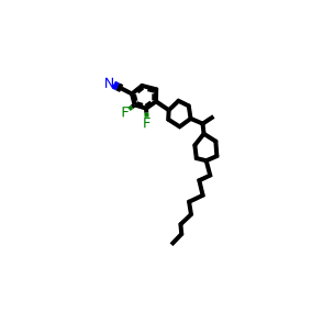 CCCCCCCCC1CCC(C(C)C2CCC(c3ccc(C#N)c(F)c3F)CC2)CC1